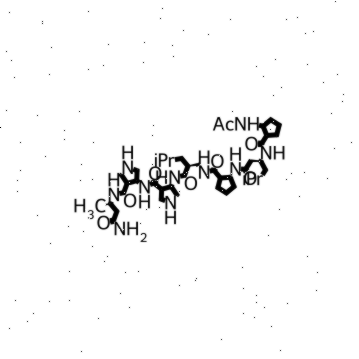 CC(=O)NC1CCCC1C(=O)N[C@H](CC(=O)NC1CCCC1C(=O)NC[C@H](CC(C)C)C(=O)NC1CNCC1C(=O)NC1CNCC1C(=O)N[C@@H](C)CC(N)=O)CC(C)C